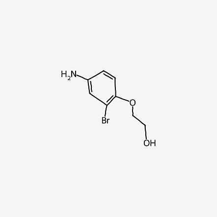 Nc1ccc(OCCO)c(Br)c1